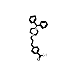 O=C(S)c1ccc(CCCN2CCN(C(c3ccccc3)c3ccccc3)CC2)cc1